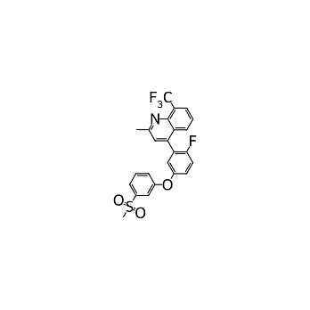 Cc1cc(-c2cc(Oc3cccc(S(C)(=O)=O)c3)ccc2F)c2cccc(C(F)(F)F)c2n1